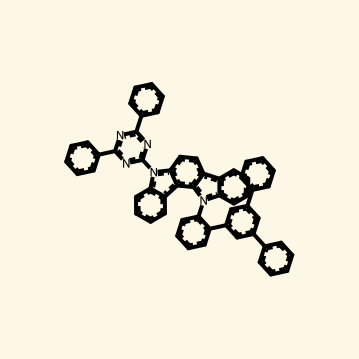 c1ccc(-c2cc(-c3ccccc3)cc(-c3ccccc3-n3c4ccccc4c4ccc5c(c6ccccc6n5-c5nc(-c6ccccc6)nc(-c6ccccc6)n5)c43)c2)cc1